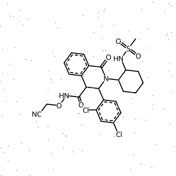 CS(=O)(=O)NC1CCCCC1N1C(=O)c2ccccc2C(C(=O)NOCC#N)C1c1ccc(Cl)cc1Cl